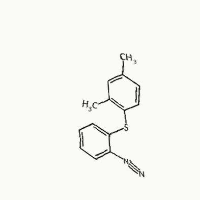 Cc1ccc(Sc2ccccc2[N+]#N)c(C)c1